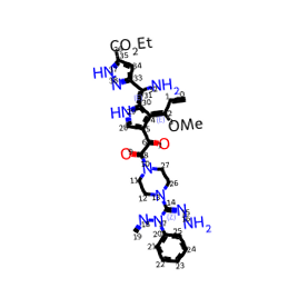 C=C/C(OC)=c1/c(C(=O)C(=O)N2CCN(/C(=N/N)N(N=C)c3ccccc3)CC2)c[nH]/c1=C(/N)c1cc(C(=O)OCC)[nH]n1